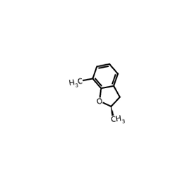 Cc1cccc2c1O[C@H](C)C2